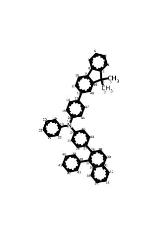 CC1(C)c2ccccc2-c2ccc(-c3ccc(N(c4ccccc4)c4ccc(-c5ccc6ccccc6c5-c5ccccc5)cc4)cc3)cc21